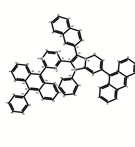 C1=C(c2c3ccccc3cc3ccccc23)C=C2N(C1)C(c1ccc3ccccc3c1)=C(c1ncnc(-c3c4ccccc4c(-c4ccccc4)c4ccccc34)n1)N2c1ccccc1